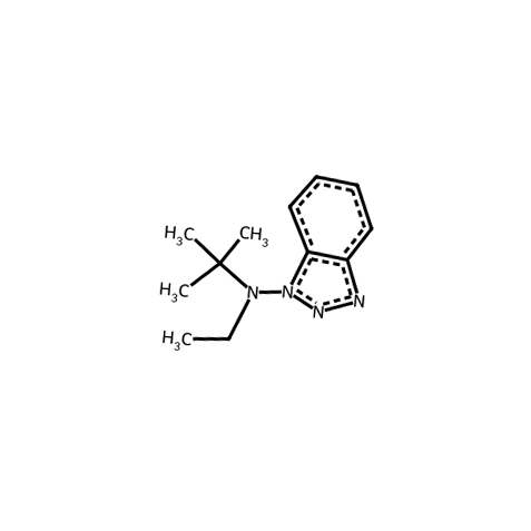 CCN(n1nnc2ccccc21)C(C)(C)C